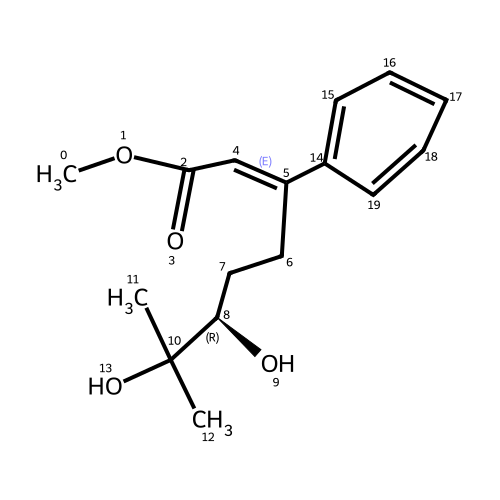 COC(=O)/C=C(\CC[C@@H](O)C(C)(C)O)c1ccccc1